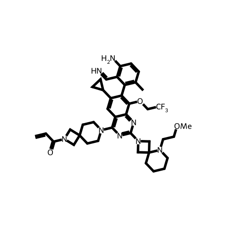 C=CC(=O)N1CC2(CCN(c3nc(N4CC5(CCCCN5CCOC)C4)nc4c(OCC(F)(F)F)c(-c5c(C)ccc(N)c5C=N)c(C5CC5)cc34)CC2)C1